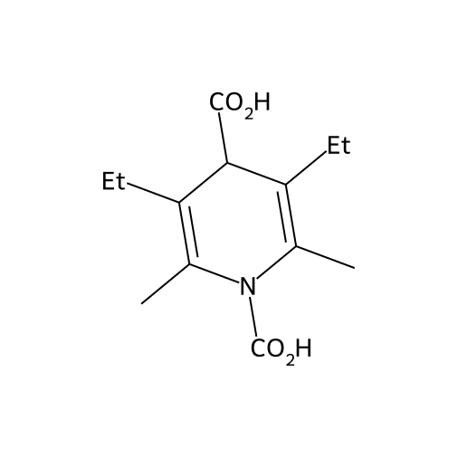 CCC1=C(C)N(C(=O)O)C(C)=C(CC)C1C(=O)O